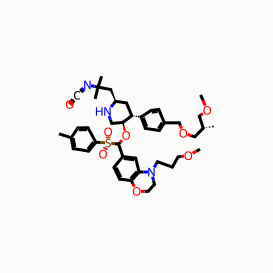 COCCCN1CCOc2ccc(C(O[C@H]3CN[C@@H](CC(C)(C)N=C=O)C[C@@H]3c3ccc(COC[C@@H](C)COC)cc3)S(=O)(=O)c3ccc(C)cc3)cc21